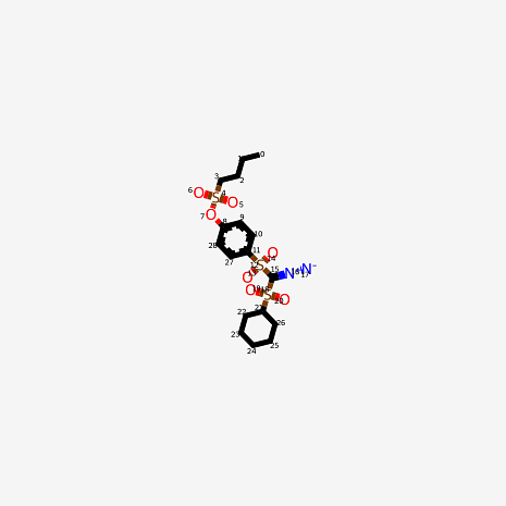 CCCCS(=O)(=O)Oc1ccc(S(=O)(=O)C(=[N+]=[N-])S(=O)(=O)C2CCCCC2)cc1